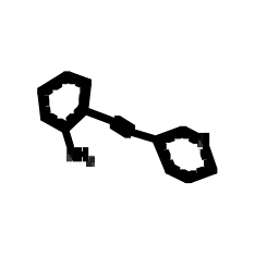 Nc1ccccc1C#Cc1cccnc1